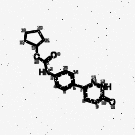 O=C(Nc1ccc(-c2ccc(=O)[nH]n2)cc1)OC1CCCC1